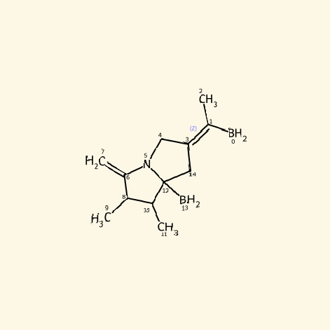 B/C(C)=C1/CN2C(=C)C(C)C(C)C2(B)C1